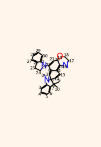 CN1c2ccccc2C(C)(C)C12C=CC1=C3N=CCOC3C=C(N3CCc4ccccc43)C1=C2